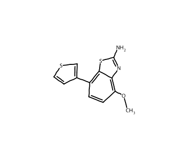 COc1ccc(-c2ccsc2)c2sc(N)nc12